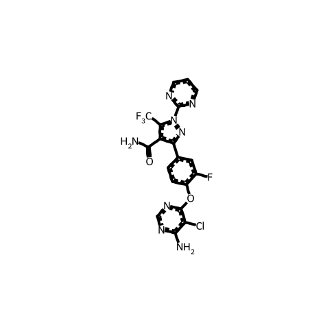 NC(=O)c1c(-c2ccc(Oc3ncnc(N)c3Cl)c(F)c2)nn(-c2ncccn2)c1C(F)(F)F